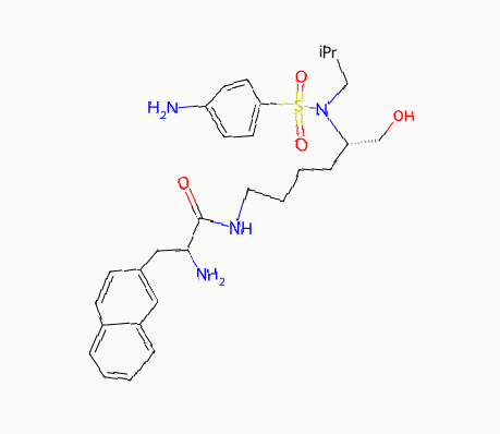 CC(C)CN([C@H](CO)CCCCNC(=O)C(N)Cc1ccc2ccccc2c1)S(=O)(=O)c1ccc(N)cc1